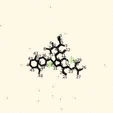 C#C/C(C)=C(C(C)=C(C)C)/C(C=C)=C/C1=C(CC)C(/C(C=C)=C/CC(C(C)C)C(C)F)=CC1(F)CC1CCC2(CC1)C(C)CCCC2CC